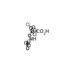 O=C(O)COc1c(C(=O)OCC2CCCCC2)sc(-c2cccc(NC3CCN(S(=O)(=O)Cc4ccccc4)CC3)c2)c1Cl